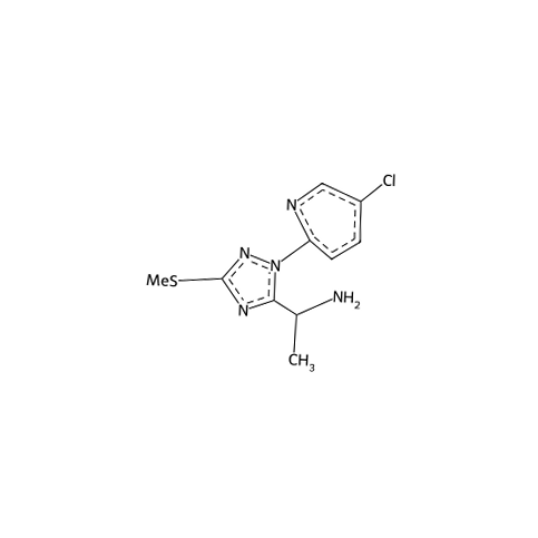 CSc1nc(C(C)N)n(-c2ccc(Cl)cn2)n1